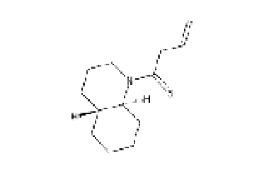 C=CCC(=S)N1CCC[C@H]2CCCC[C@@H]21